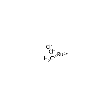 [CH2]=[Ru+2].[Cl-].[Cl-]